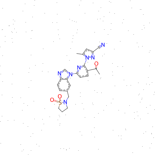 CC(=O)c1ccc(-n2cnc3ccc(CN4CCCS4(=O)=O)cc32)nc1-n1nc(C#N)cc1C